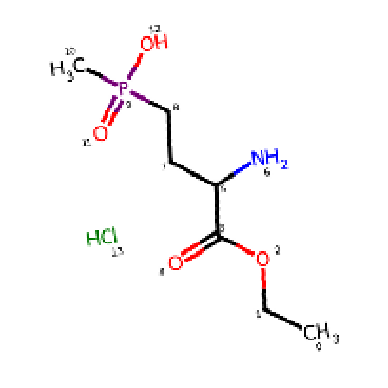 CCOC(=O)C(N)CCP(C)(=O)O.Cl